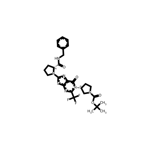 CC(C)(C)OC(=O)N1CC[C@@H](n2c(C(F)(F)F)nc3sc(N4CCC[C@@H]4C(=O)NCc4ccccc4)nc3c2=O)C1